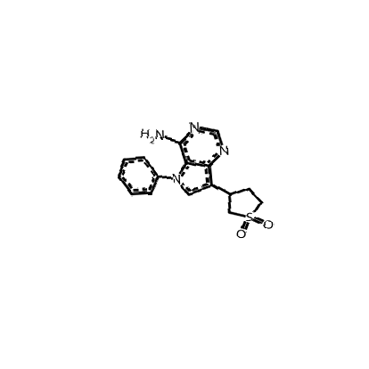 Nc1ncnc2c(C3CCS(=O)(=O)C3)cn(-c3ccccc3)c12